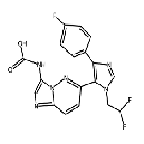 O=C(O)Nc1cnc2ccc(-c3c(-c4ccc(F)cc4)ncn3CC(F)F)nn12